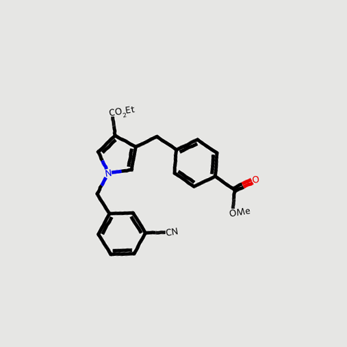 CCOC(=O)c1cn(Cc2cccc(C#N)c2)cc1Cc1ccc(C(=O)OC)cc1